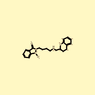 O=c1c2ccccc2[s+]([O-])n1CCCCNCC1CCc2ccccc2O1